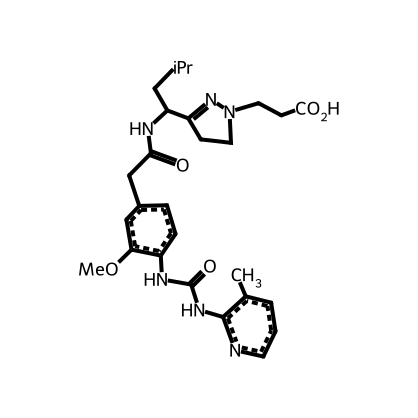 COc1cc(CC(=O)NC(CC(C)C)C2=NN(CCC(=O)O)CC2)ccc1NC(=O)Nc1ncccc1C